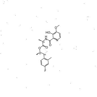 COc1ccnc(C(=O)N[C@H](C)C(=O)O[C@H](C)[C@H](C)c2ccc(F)cc2C)c1O